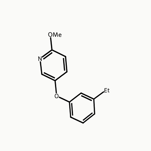 CCc1cccc(Oc2ccc(OC)nc2)c1